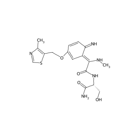 CN/C(C(=O)N[C@H](CO)C(N)=O)=C1/C=C(OCc2scnc2C)C=CC1=N